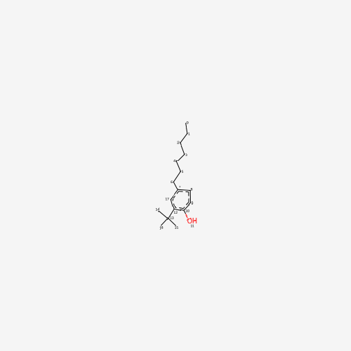 CCCCCCCc1ccc(O)c(C(C)(C)C)c1